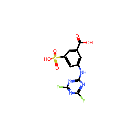 O=C(O)c1cc(Nc2nc(F)nc(F)n2)cc(S(=O)(=O)O)c1